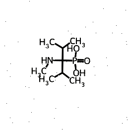 CNC(C(C)C)(C(C)C)P(=O)(O)O